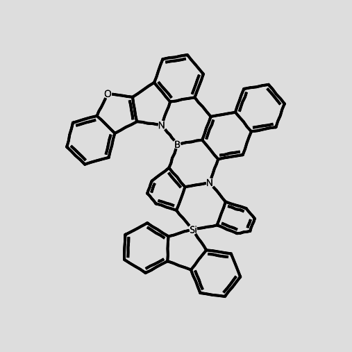 c1ccc2c(c1)-c1ccccc1[Si]21c2ccccc2N2c3cc4ccccc4c4c3B(c3cccc1c32)n1c2c-4cccc2c2oc3ccccc3c21